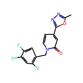 Cc1nnc(-c2ccn(Cc3cc(F)c(F)cc3F)c(=O)c2)o1